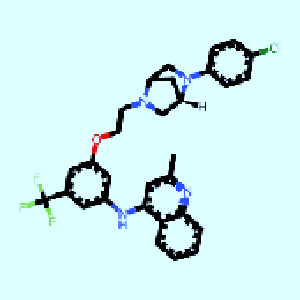 Cc1cc(Nc2cc(OCCN3C[C@@H]4CC3CN4c3ccc(Cl)cc3)cc(C(F)(F)F)c2)c2ccccc2n1